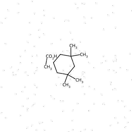 CC(=O)O.CC1(C)CCCC(C)(C)C1